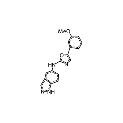 COc1cccc(-c2cnc(Nc3ccc4[nH]ncc4c3)o2)c1